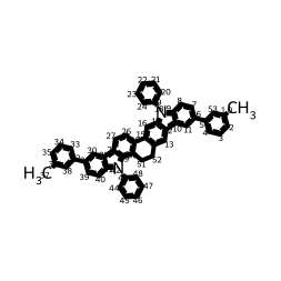 Cc1cccc(-c2ccc3c(c2)c2cc4c(cc2n3-c2ccccc2)-c2ccc3c5cc(-c6cccc(C)c6)ccc5n(-c5ccccc5)c3c2CC4)c1